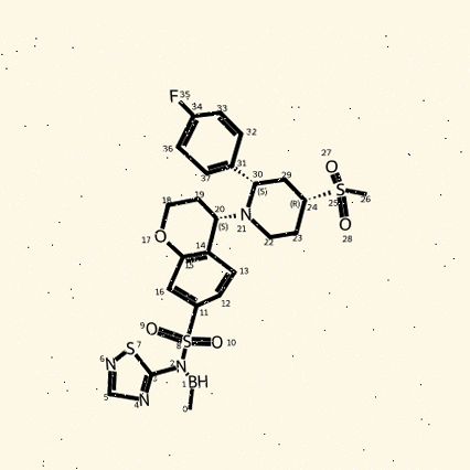 CBN(c1ncns1)S(=O)(=O)c1ccc2c(c1)OCC[C@@H]2N1CC[C@@H](S(C)(=O)=O)C[C@H]1c1ccc(F)cc1